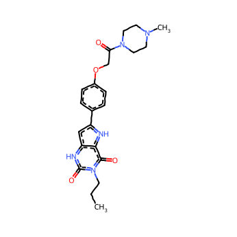 CCCn1c(=O)[nH]c2cc(-c3ccc(OCC(=O)N4CCN(C)CC4)cc3)[nH]c2c1=O